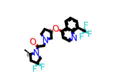 C[C@@H]1CC(F)(F)CN1C(=O)CN1CC[C@H](Oc2ccnc3c(C(F)(F)F)cccc23)C1